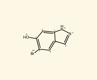 Oc1cc2[nH]ncc2cc1Br